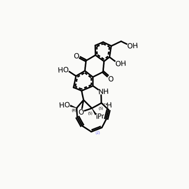 CC(C)[C@@]12OC13c1cc(O)c4c(c1N[C@H]2C#C/C=C\C#C[C@H]3O)C(=O)c1c(ccc(CO)c1O)C4=O